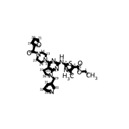 CCOC(=O)c1sc(Nc2nc(N3CCN(C(=O)c4ccco4)CC3)c3c(n2)N(Cc2cccnc2)CC3)nc1C